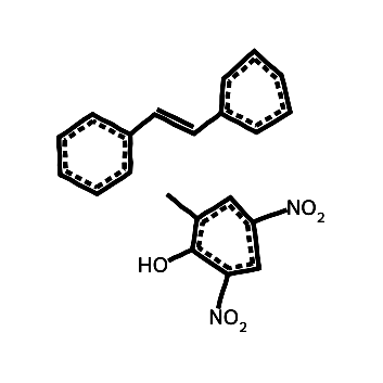 C(=Cc1ccccc1)c1ccccc1.Cc1cc([N+](=O)[O-])cc([N+](=O)[O-])c1O